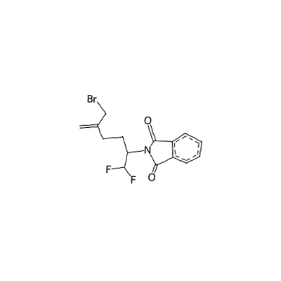 C=C(CBr)CCC(C(F)F)N1C(=O)c2ccccc2C1=O